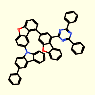 c1ccc(-c2ccc3c(c2)c2ccccc2n3-c2ccc3oc4cccc(-c5cc(-c6nc(-c7ccccc7)nc(-c7ccccc7)n6)c6c(c5)oc5ccccc56)c4c3c2)cc1